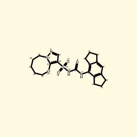 O=C(Nc1c2c(cc3c1CCC3)CCC2)NS(=O)(=O)c1cnn2c1OCCCCC2